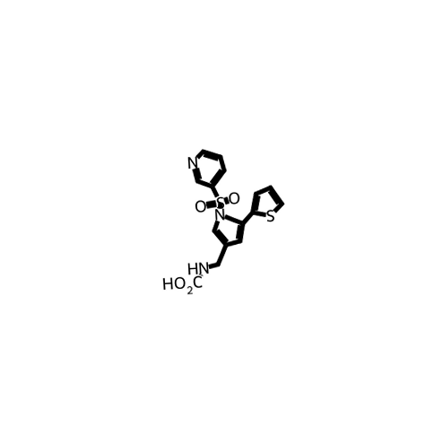 O=C(O)NCc1cc(-c2cccs2)n(S(=O)(=O)c2cccnc2)c1